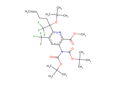 C=CCCC(O[Si](C)(C)C)(c1nc(C(=O)OC)c(N(C(=O)OC(C)(C)C)C(=O)OC(C)(C)C)cc1C(F)(F)F)C(F)(F)F